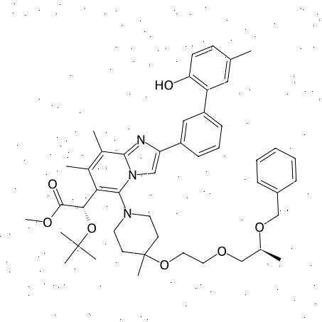 COC(=O)[C@@H](OC(C)(C)C)c1c(C)c(C)c2nc(-c3cccc(-c4cc(C)ccc4O)c3)cn2c1N1CCC(C)(OCCOC[C@H](C)OCc2ccccc2)CC1